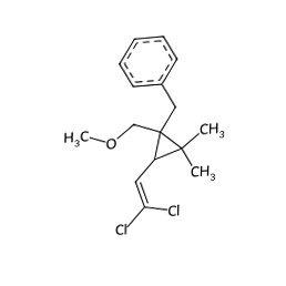 COCC1(Cc2ccccc2)C(C=C(Cl)Cl)C1(C)C